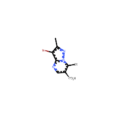 CCc1c(C(=O)O)cnc2c(Br)c(C)nn12